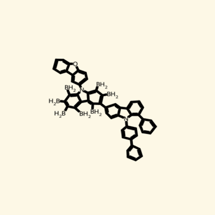 Bc1c(B)c(B)c2c(c1B)c1c(B)c(-c3ccc4c(c3)c3cccc(-c5ccccc5)c3n4-c3ccc(-c4ccccc4)cc3)c(B)c(B)c1n2-c1ccc2oc3ccccc3c2c1